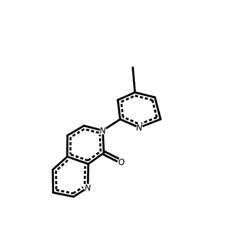 Cc1ccnc(-n2ccc3cccnc3c2=O)c1